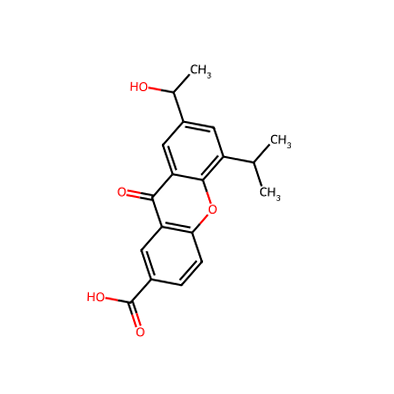 CC(C)c1cc(C(C)O)cc2c(=O)c3cc(C(=O)O)ccc3oc12